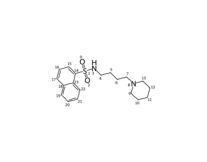 O=S(=O)(NCCCCN1CCCCC1)c1cccc2ccccc12